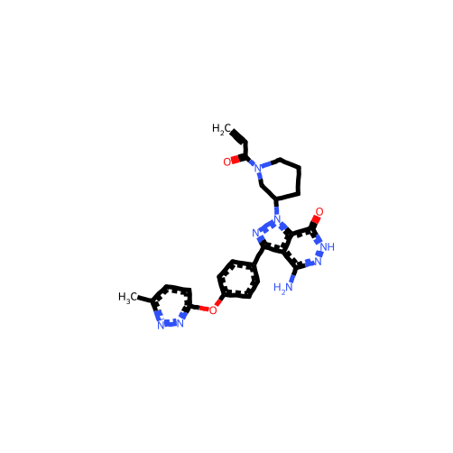 C=CC(=O)N1CCCC(n2nc(-c3ccc(Oc4ccc(C)nn4)cc3)c3c(N)n[nH]c(=O)c32)C1